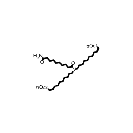 CCCCCCCC/C=C\CCCCCCCCN(CCCCCCCC/C=C\CCCCCCCC)C(=O)CCCCCCCCC(N)=O